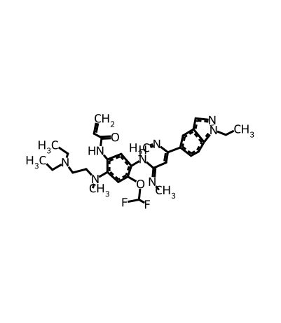 C=CC(=O)Nc1cc(NC(/C=C(\N=C)c2ccc3c(cnn3CC)c2)=N/C)c(OC(F)F)cc1N(C)CCN(CC)CC